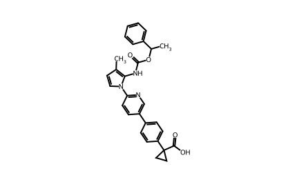 Cc1ccn(-c2ccc(-c3ccc(C4(C(=O)O)CC4)cc3)cn2)c1NC(=O)OC(C)c1ccccc1